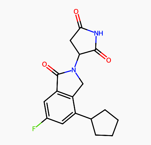 O=C1CC(N2Cc3c(cc(F)cc3C3CCCC3)C2=O)C(=O)N1